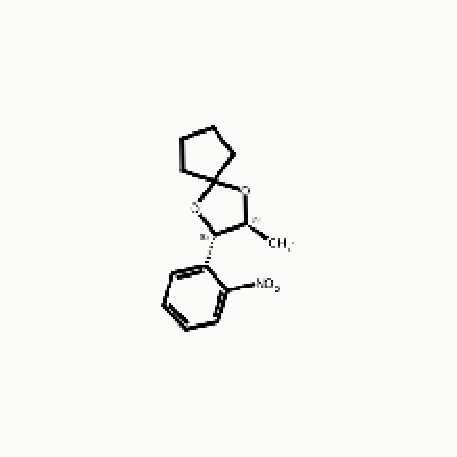 [CH2][C@@H]1OC2(CCCC2)O[C@H]1c1ccccc1[N+](=O)[O-]